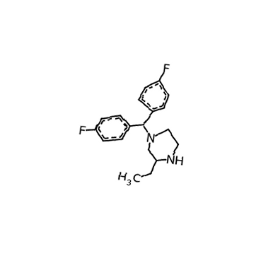 CCC1CN(C(c2ccc(F)cc2)c2ccc(F)cc2)CCN1